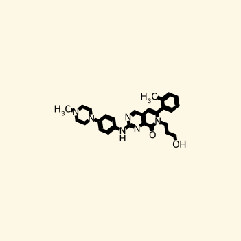 Cc1ccccc1-c1cc2cnc(Nc3ccc(N4CCN(C)CC4)cc3)nc2c(=O)n1CCCO